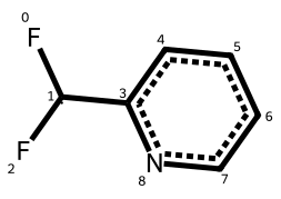 F[C](F)c1ccccn1